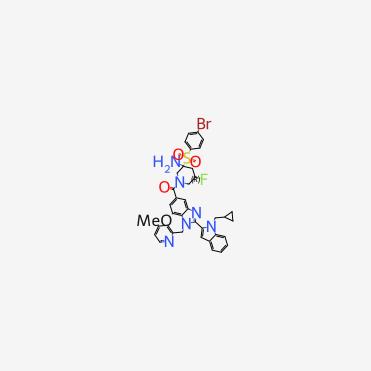 COc1cc(C(=O)N2C[C@H](F)CC(N)(S(=O)(=O)c3ccc(Br)cc3)C2)cc2nc(-c3cc4ccccc4n3CC3CC3)n(Cc3ccccn3)c12